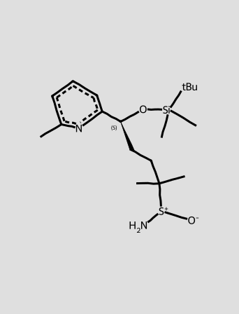 Cc1cccc([C@H](CCC(C)(C)[S+](N)[O-])O[Si](C)(C)C(C)(C)C)n1